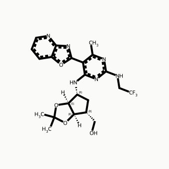 Cc1nc(NCC(F)(F)F)nc(N[C@@H]2C[C@H](CO)[C@H]3OC(C)(C)O[C@H]32)c1-c1nc2ncccc2o1